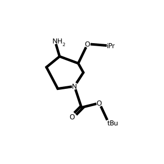 CC(C)OC1CN(C(=O)OC(C)(C)C)CCC1N